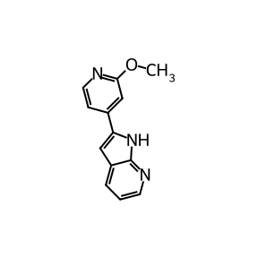 COc1cc(-c2cc3cccnc3[nH]2)ccn1